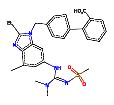 CCc1nc2c(C)cc(N/C(=N\S(C)(=O)=O)N(C)C)cc2n1Cc1ccc(-c2ccccc2C(=O)O)cc1